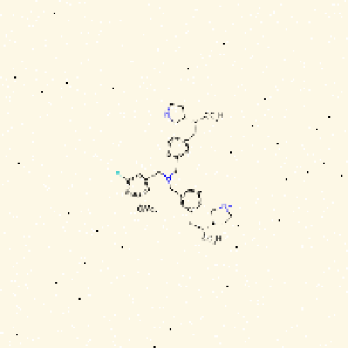 COc1cc(F)cc(CN(Cc2cccc(CC(C(=O)O)[C@H]3CCNC3)c2)Cc2cccc(CC(C(=O)O)[C@H]3CCNC3)c2)c1